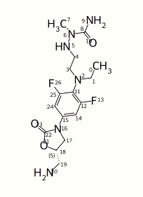 CCN(CCNN(C)C(N)=O)c1c(F)cc(N2C[C@H](CN)OC2=O)cc1F